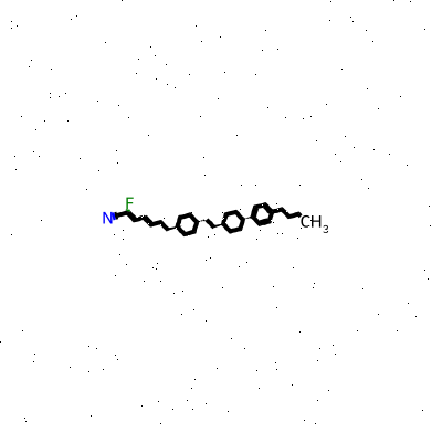 CCCCc1ccc([C@H]2CC[C@H](CC[C@H]3CC[C@H](CC/C=C/C=C(\F)C#N)CC3)CC2)cc1